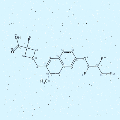 C[C@H]1Cc2cc(OC(F)C(F)CF)ccc2C=C1CN1CC(F)(C(=O)O)C1